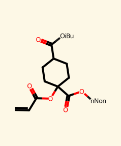 C=CC(=O)OC1(C(=O)OCCCCCCCCC)CCC(C(=O)OCC(C)C)CC1